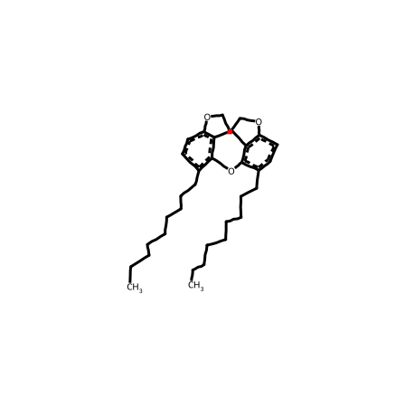 CCCCCCCCCc1ccc2c(c1Oc1c(CCCCCCCCC)ccc3c1CCO3)CCO2